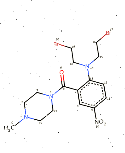 CN1CCN(C(=O)c2cc([N+](=O)[O-])ccc2N(CCBr)CCBr)CC1